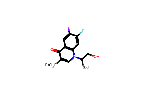 CCOC(=O)c1cn(C(CO)C(C)(C)C)c2cc(F)c(I)cc2c1=O